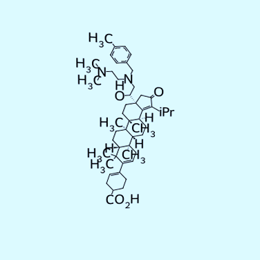 Cc1ccc(CN(CCN(C)C)CC(O)[C@@]23CC[C@]4(C)[C@H](CC[C@@H]5[C@@]6(C)CC=C(C7=CCC(C(=O)O)CC7)C(C)(C)[C@@H]6CC[C@]54C)C2=C(C(C)C)C(=O)C3)cc1